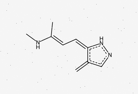 C=c1cn[nH]/c1=C/C=C(\C)NC